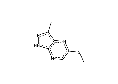 CSc1cnc2[nH]nc(C)c2n1